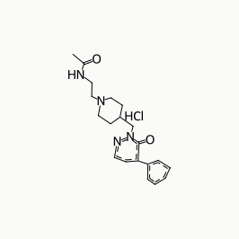 CC(=O)NCCN1CCC(Cn2nccc(-c3ccccc3)c2=O)CC1.Cl